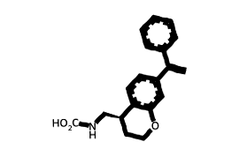 C=C(c1ccccc1)c1ccc2c(c1)OCC[C@H]2CNC(=O)O